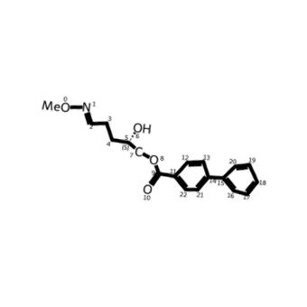 CON=CCC[C@H](O)COC(=O)c1ccc(-c2ccccc2)cc1